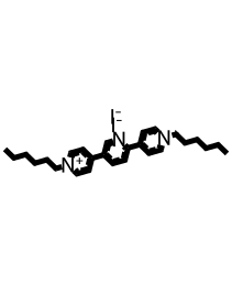 CCCCCC[n+]1ccc(-c2ccc(-c3cc[n+](CCCCCC)cc3)nc2)cc1.[I-].[I-]